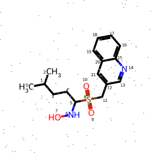 CC(C)CCC(NO)S(=O)(=O)Cc1cnc2ccccc2c1